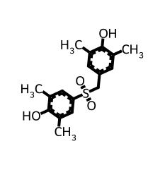 Cc1cc(CS(=O)(=O)c2cc(C)c(O)c(C)c2)cc(C)c1O